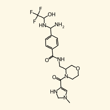 CN1C=C(C(=O)N2CCOCC2CNC(=O)c2ccc(C(N)NC(O)C(F)(F)F)cc2)NC1